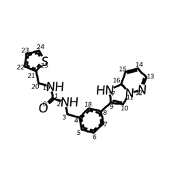 O=C(NCc1cccc(C2=CN3N=CC=CC3N2)c1)NCc1cccs1